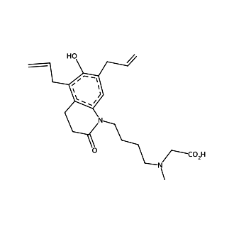 C=CCc1cc2c(c(CC=C)c1O)CCC(=O)N2CCCCN(C)CC(=O)O